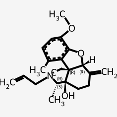 C=CCN1CC[C@@]23c4c(C)ccc(OC)c4O[C@@H]2C(=C)CC[C@]3(O)[C@@H]1C